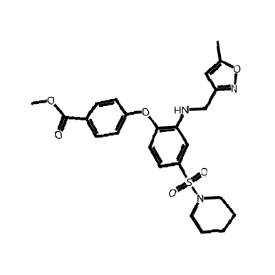 COC(=O)c1ccc(Oc2ccc(S(=O)(=O)N3CCCCC3)cc2NCc2cc(C)on2)cc1